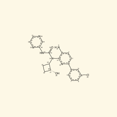 Nc1ccc(-c2cccc(Cl)c2)nc1N(C(=O)Nc1cnccn1)C1CC[C@H]1O